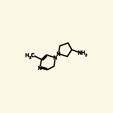 CC1=CN(N2CCC(N)C2)CC=N1